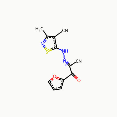 Cc1nsc(N/N=C(\C#N)C(=O)c2ccco2)c1C#N